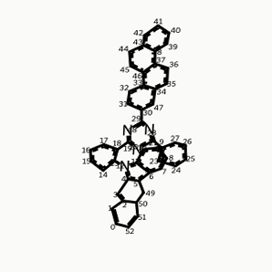 C1=CC2=Cc3c(c4ccccc4n3-c3ccccc3-c3nc(-c4ccccc4)nc(-c4ccc5c(ccc6c7ccccc7ccc56)c4)n3)CC2C=C1